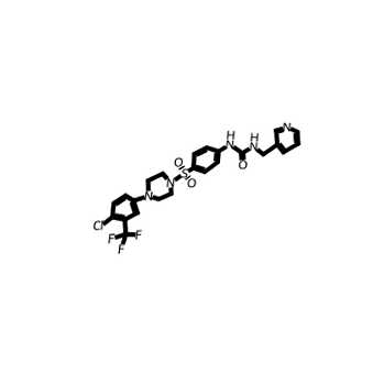 O=C(NCc1cccnc1)Nc1ccc(S(=O)(=O)N2CCN(c3ccc(Cl)c(C(F)(F)F)c3)CC2)cc1